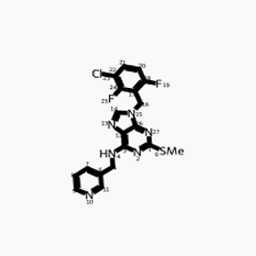 CSc1nc(NCc2cccnc2)c2ncn(Cc3c(F)ccc(Cl)c3F)c2n1